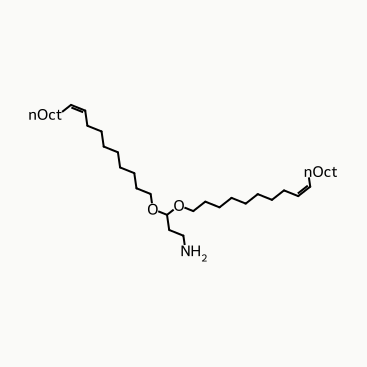 CCCCCCCC/C=C\CCCCCCCCOC(CCN)OCCCCCCCC/C=C\CCCCCCCC